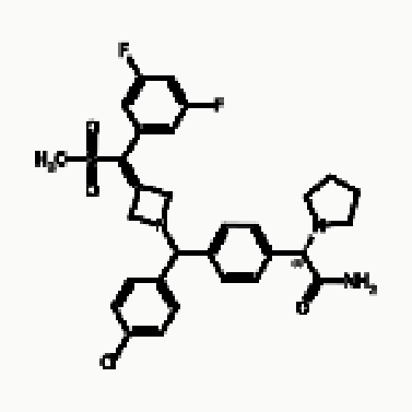 CS(=O)(=O)C(=C1CN(C(c2ccc(Cl)cc2)c2ccc([C@@H](C(N)=O)N3CCCC3)cc2)C1)c1cc(F)cc(F)c1